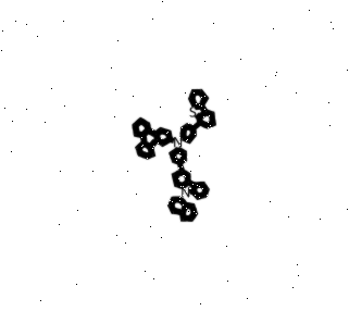 c1ccc2c(-n3c4ccccc4c4cc(-c5ccc(N(c6ccc(-c7cccc8c7sc7ccccc78)cc6)c6ccc7c8ccccc8c8ccccc8c7c6)cc5)ccc43)cccc2c1